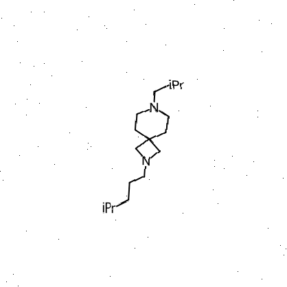 CC(C)CCCN1CC2(CCN(CC(C)C)CC2)C1